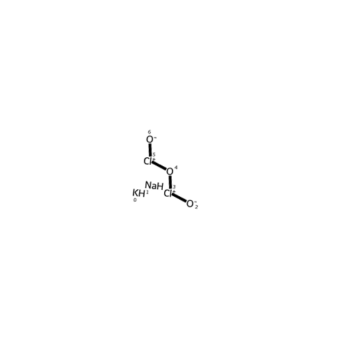 [KH].[NaH].[O-][Cl+]O[Cl+][O-]